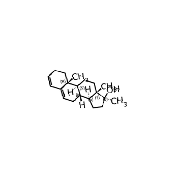 C[C@]12CCC=CC1=CC[C@@H]1[C@@H]2CC[C@@]2(C)[C@H]1CC[C@]2(C)O